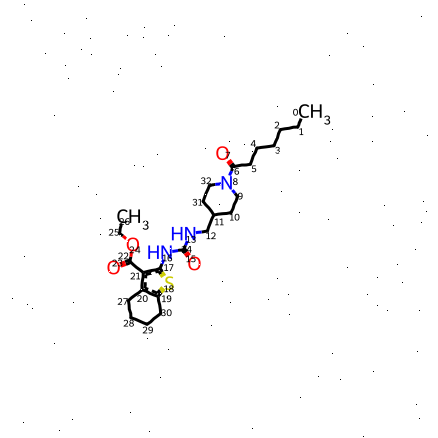 CCCCCCC(=O)N1CCC(CNC(=O)Nc2sc3c(c2C(=O)OCC)CCCC3)CC1